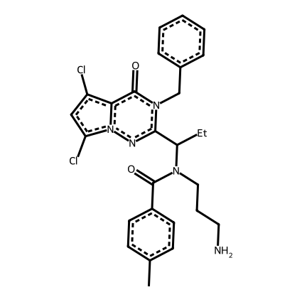 CCC(c1nn2c(Cl)cc(Cl)c2c(=O)n1Cc1ccccc1)N(CCCN)C(=O)c1ccc(C)cc1